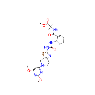 COC(=O)C(C)(C)NC(=O)c1ccccc1NC(=O)Nc1nc2c(s1)CN(c1cc(OC)nc(OC)n1)CC2